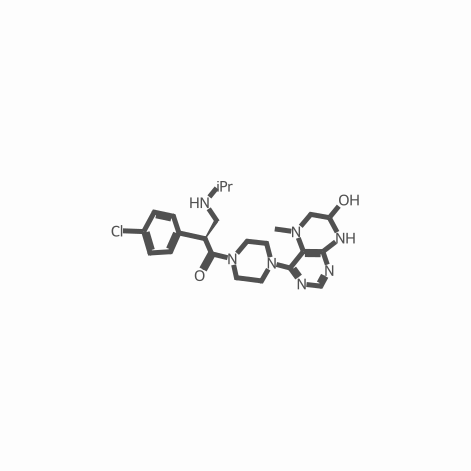 CC(C)NC[C@@H](C(=O)N1CCN(c2ncnc3c2N(C)CC(O)N3)CC1)c1ccc(Cl)cc1